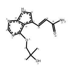 CC(C)(O)COc1ncnc2[nH]cc(C=CC(N)=O)c12